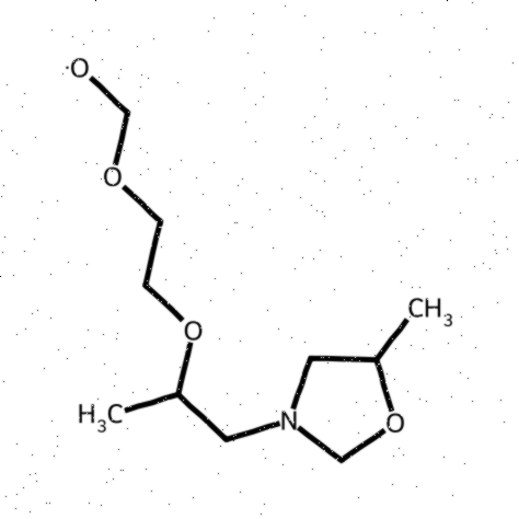 CC(CN1COC(C)C1)OCCOC[O]